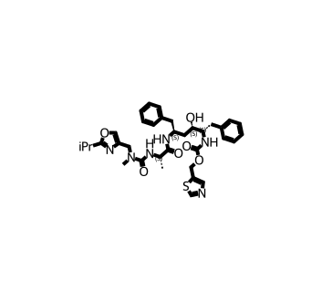 CC(C)c1nc(CN(C)C(=O)N[C@@H](C)C(=O)N[C@@H](Cc2ccccc2)C[C@H](O)[C@H](Cc2ccccc2)NC(=O)OCc2cncs2)co1